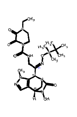 CCN1CCN(C(=O)NC/C(=N\O[Si](C)(C)C(C)(C)C)[C@@H]2c3c(cnn3C)[C@@H]3CN2C(=O)N3O)C(=O)C1=O